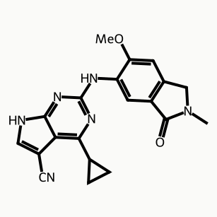 COc1cc2c(cc1Nc1nc(C3CC3)c3c(C#N)c[nH]c3n1)C(=O)N(C)C2